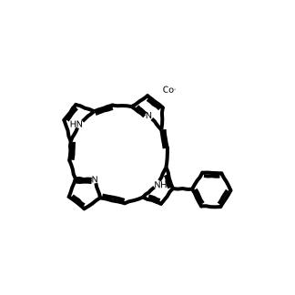 C1=Cc2cc3cc(-c4ccccc4)c(cc4nc(cc5ccc(cc1n2)[nH]5)C=C4)[nH]3.[Co]